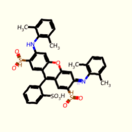 Cc1cccc(C)c1/N=c1\cc2oc3cc(Nc4c(C)cccc4C)c([SH](=O)=O)cc3c(-c3ccccc3S(=O)(=O)O)c-2cc1[SH](=O)=O